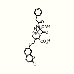 CO[C@@]1(NC(=O)Cc2ccccc2)C(=O)N2C(C(=O)O)=C(COc3ccc4ccc(=O)oc4c3)CS[C@@H]21